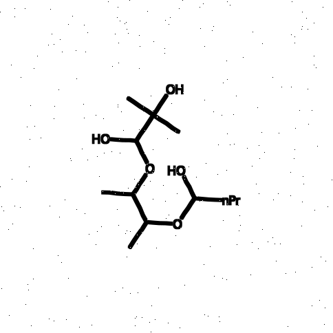 CCCC(O)OC(C)C(C)OC(O)C(C)(C)O